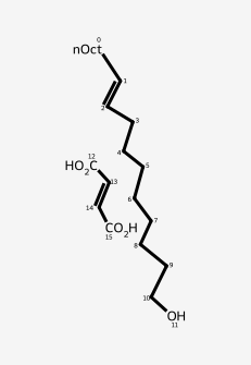 CCCCCCCCC=CCCCCCCCCO.O=C(O)C=CC(=O)O